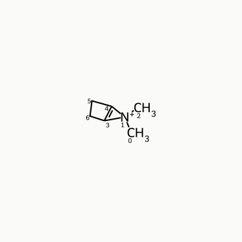 C[N+]1(C)C2=C1CC2